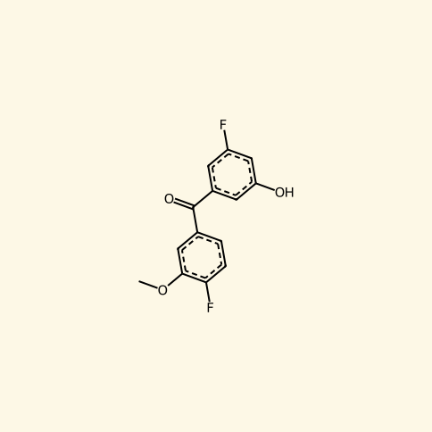 COc1cc(C(=O)c2cc(O)cc(F)c2)ccc1F